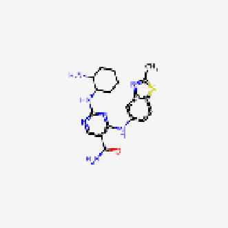 Cc1nc2cc(Nc3nc(N[C@@H]4CCCC[C@@H]4N)ncc3C(N)=O)ccc2s1